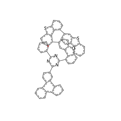 c1ccc(-c2nc(-c3ccc4c5ccccc5c5ccccc5c4c3)nc(-c3cccc4oc5ccc(-c6cccc7sc8cccc(-c9ccc%10c(c9)sc9ccccc9%10)c8c67)cc5c34)n2)cc1